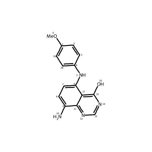 COc1ccc(Nc2ccc(N)c3ncnc(O)c23)cc1